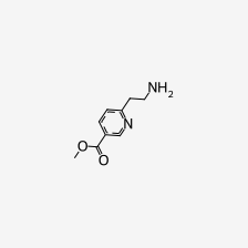 COC(=O)c1ccc(CCN)nc1